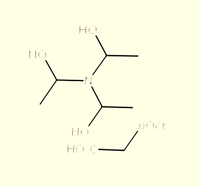 CC(O)N(C(C)O)C(C)O.CCCCCCCCCC(=O)O